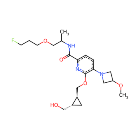 COC1CN(c2ccc(C(=O)NC(C)COCCCF)nc2OC[C@H]2C[C@@H]2CO)C1